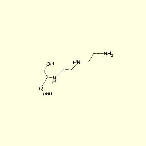 CCCCOC(CO)NCCNCCN